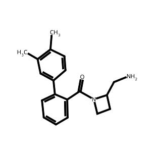 Cc1ccc(-c2ccccc2C(=O)N2CCC2CN)cc1C